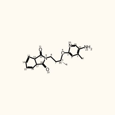 Cc1cc(O[C@H](C)CCN2C(=O)C3C=CC=CC3C2=O)ncc1N